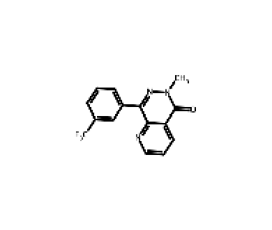 Cn1nc(-c2cccc(C(F)(F)F)c2)c2ncccc2c1=O